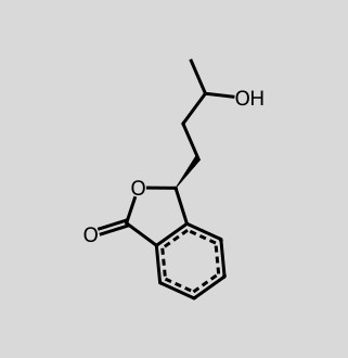 CC(O)CC[C@@H]1OC(=O)c2ccccc21